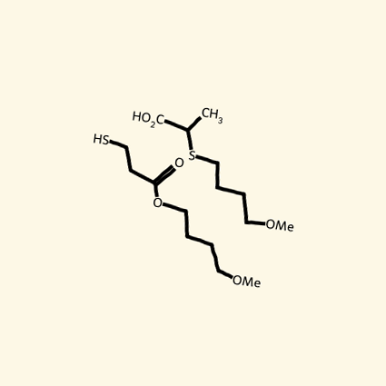 COCCCCOC(=O)CCS.COCCCCSC(C)C(=O)O